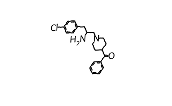 NC(Cc1ccc(Cl)cc1)CN1CCC(C(=O)c2ccccc2)CC1